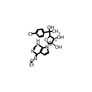 CCON=c1nc[nH]c2c1ccn2[C@@H]1OC(C(C)(O)c2ccc(Cl)cc2)[C@@H](O)[C@H]1O